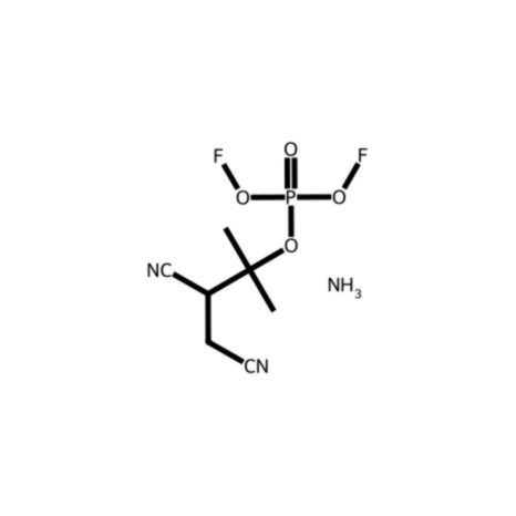 CC(C)(OP(=O)(OF)OF)C(C#N)CC#N.N